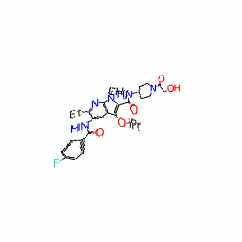 CCc1nc2c(cc1NC(=O)c1ccc(F)cc1)c(OC(C)C)c(C(=O)NC1CCN(C(=O)CO)CC1)n2C